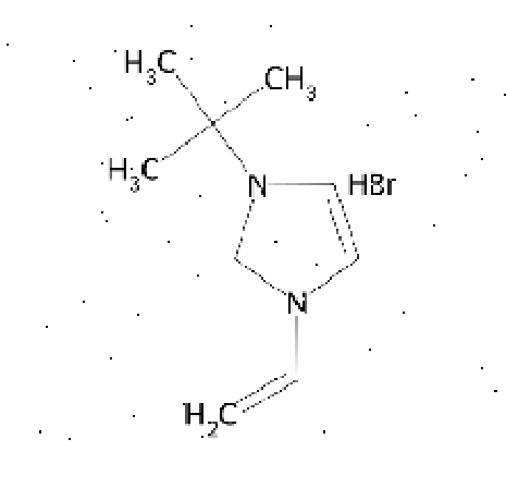 Br.C=CN1C=CN(C(C)(C)C)C1